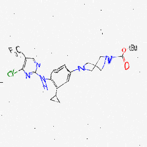 CC(C)(C)OC(=O)N1CC2(C1)CN(c1ccc(Nc3ncc(C(F)(F)F)c(Cl)n3)c(C3CC3)c1)C2